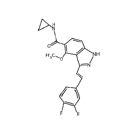 COc1c(C(=O)NC2CC2)ccc2[nH]nc(C=Cc3ccc(F)c(F)c3)c12